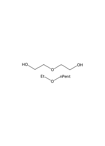 CCCCCOCC.OCCOCCO